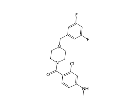 CNc1ccc(C(=O)N2CCN(Cc3cc(F)cc(F)c3)CC2)c(Cl)c1